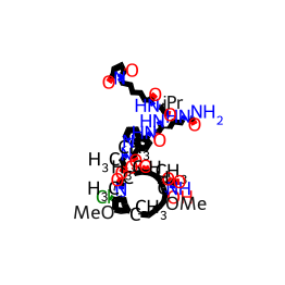 COc1cc2cc(c1Cl)N(C)C(=O)C[C@H](OC(=O)[C@H](C)N(C)C(=O)c1ccc(NC(=O)[C@H](CCCNC(N)=O)NC(=O)[C@@H](NC(=O)CCCCCN3C(=O)C=CC3=O)C(C)C)c3cccnc13)[C@]1(C)O[C@H]1[C@H](C)[C@@H]1C[C@@](O)(NC(=O)O1)[C@H](OC)/C=C/C=C(\C)C2